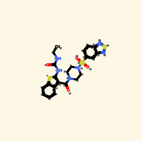 CCNC(=O)Nc1sc2ccccc2c1C(=O)N1CCN(S(=O)(=O)c2ccc3nsnc3c2)CC1